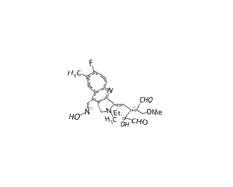 CC[C@@](O)(C=O)C(/C=C1/c2nc3cc(F)c(C)cc3c(/C=N/O)c2CN1C)=C(/C=O)COC